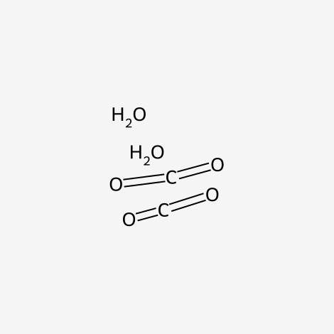 O.O.O=C=O.O=C=O